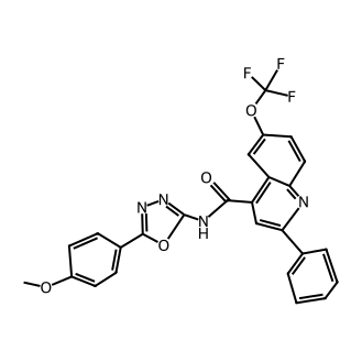 COc1ccc(-c2nnc(NC(=O)c3cc(-c4ccccc4)nc4ccc(OC(F)(F)F)cc34)o2)cc1